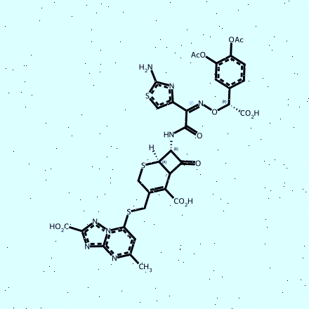 CC(=O)Oc1ccc([C@@H](O/N=C(\C(=O)N[C@@H]2C(=O)C3C(C(=O)O)=C(CSc4cc(C)nc5nc(C(=O)O)nn45)CS[C@H]32)c2csc(N)n2)C(=O)O)cc1OC(C)=O